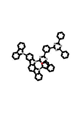 c1ccc(-c2nc(-c3ccccc3)nc(-c3cccc(-c4nc(-c5ccccc5)nc(-n5c6ccc(-n7c8ccccc8c8ccccc87)cc6c6ccc7c8ccccc8n(-c8ccccc8)c7c65)n4)c3)n2)cc1